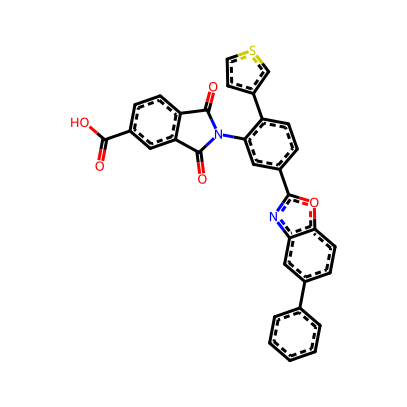 O=C(O)c1ccc2c(c1)C(=O)N(c1cc(-c3nc4cc(-c5ccccc5)ccc4o3)ccc1-c1ccsc1)C2=O